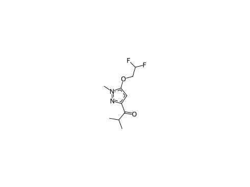 CC(C)C(=O)c1cc(OCC(F)F)n(C)n1